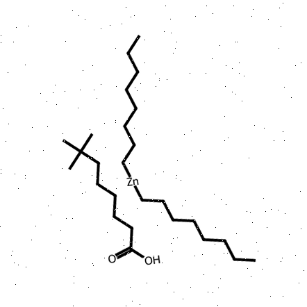 CC(C)(C)CCCCCC(=O)O.CCCCCCC[CH2][Zn][CH2]CCCCCCC